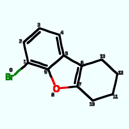 Brc1cccc2c3c(oc12)CCCC3